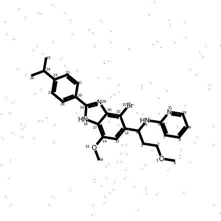 COCCC(Nc1ccccn1)c1cc(OC)c2[nH]c(-c3ccc(C(C)C)cc3)nc2c1Br